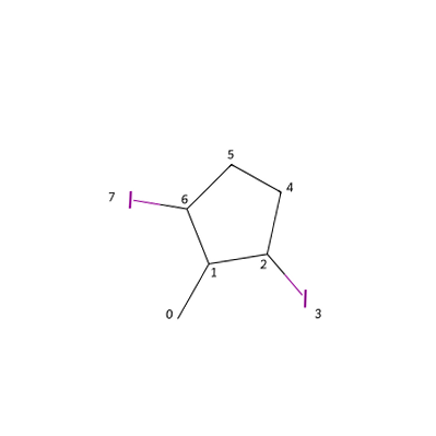 CC1C(I)CCC1I